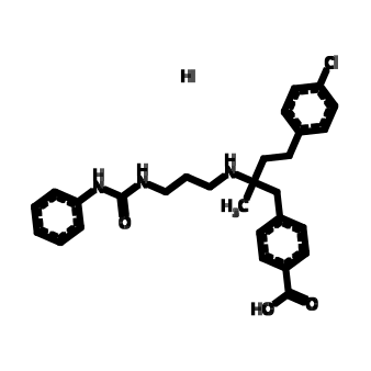 CC(CCc1ccc(Cl)cc1)(Cc1ccc(C(=O)O)cc1)NCCCNC(=O)Nc1ccccc1.I